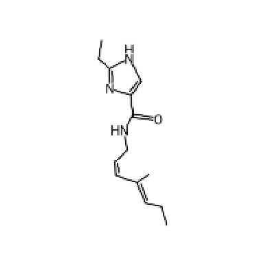 CC/C=C(C)/C=C\CNC(=O)c1c[nH]c(CC)n1